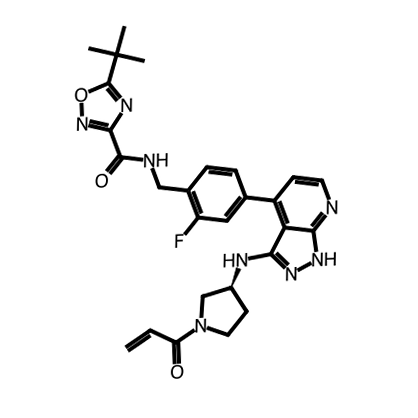 C=CC(=O)N1CC[C@H](Nc2n[nH]c3nccc(-c4ccc(CNC(=O)c5noc(C(C)(C)C)n5)c(F)c4)c23)C1